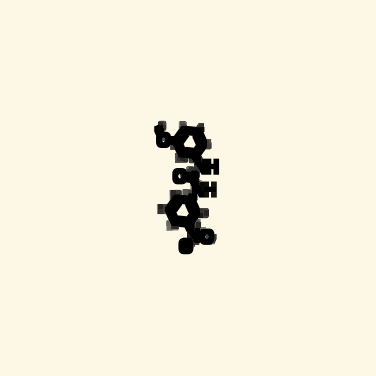 COc1cccc(NC(=O)Nc2cccc([N+](=O)[O-])c2)c1